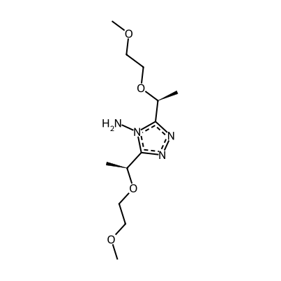 COCCO[C@@H](C)c1nnc([C@H](C)OCCOC)n1N